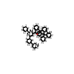 c1ccc(-c2nc(-c3cccc(-c4cccnc4)c3)cc(-c3ccc(-c4cccc5c4C(c4ccccc4)(c4ccccc4)c4ccccc4-5)c4ccccc34)n2)cc1